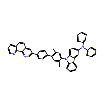 Cc1cc(-n2c3ccccc3c3cc(N(c4ccccc4)c4ccccc4)ccc32)c(C)cc1-c1ccc(-c2cnc3c(ccc4cccnc43)c2)cc1